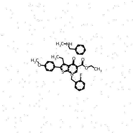 CCOC(=O)c1cn(Cc2ccccc2F)c2sc(-c3ccc(OC)cc3)c(CC)c2c1=O.CNCc1ccccc1